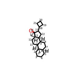 C[C@]12CCCC[C@@H]1CC[C@@H]1[C@@H]2CC[C@]2(C)C(=O)C(C3CCC3)C[C@@H]12